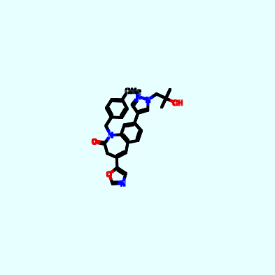 COc1ccc(CN2C(=O)CC(c3cnco3)=Cc3ccc(-c4cnn(CC(C)(C)O)c4)cc32)cc1